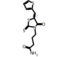 NC(=O)CCCN1C(=O)/C(=C/c2cccs2)SC1=S